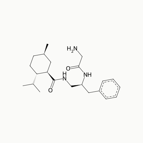 CC(C)[C@@H]1CC[C@@H](C)C[C@H]1C(=O)NC[C@H](Cc1ccccc1)NC(=O)CN